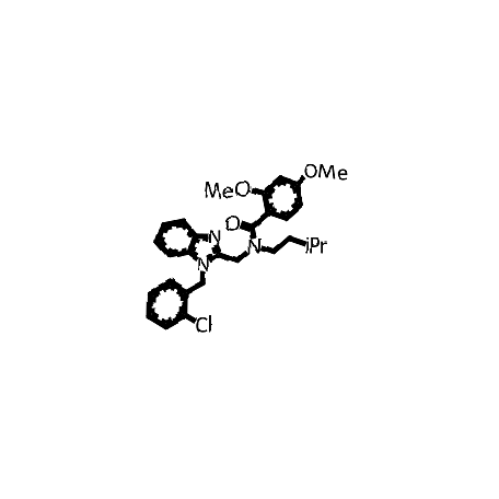 COc1ccc(C(=O)N(CCC(C)C)Cc2nc3ccccc3n2Cc2ccccc2Cl)c(OC)c1